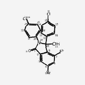 O=C1c2cc(Br)cc(F)c2C(O)(c2ccc(Cl)cc2)N1c1ccc(Cl)cc1